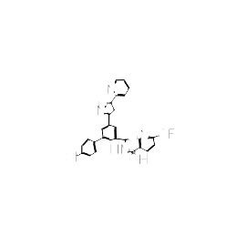 C[C@@H](NC(=O)c1cc(C2=NOC(c3ccccn3)C2)cc(-c2ccc(Cl)cc2)c1)c1ccc(C(F)(F)F)nc1